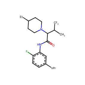 CCCc1ccc(F)c(NC(=O)C(C(C)C(F)(F)F)N2CCC(CC)CC2)c1